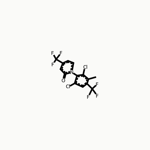 Cc1c(C(F)(F)F)cc(Cl)c(-n2ccc(C(F)(F)F)cc2=O)c1Cl